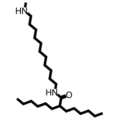 CCCCCCC(CCCCCC)C(=O)NCCCCCCCCCCCNC